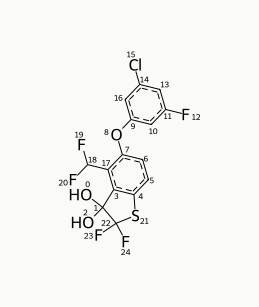 OC1(O)c2c(ccc(Oc3cc(F)cc(Cl)c3)c2C(F)F)SC1(F)F